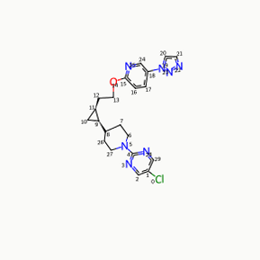 Clc1cnc(N2CCC([C@H]3C[C@H]3CCOc3ccc(-n4ccnn4)cn3)CC2)nc1